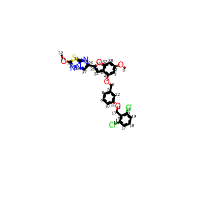 COc1cc(OCc2cccc(OCc3c(Cl)cccc3Cl)c2)c2cc(-c3cn4nc(OC)sc4n3)oc2c1